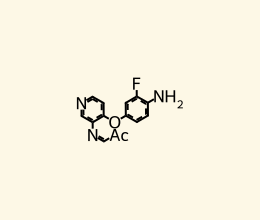 CC(=O)/C=N\c1cnccc1Oc1ccc(N)c(F)c1